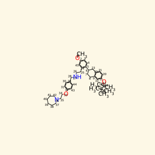 COc1ccc(C2CCc3cc(O[Si](C)(C)C(C)(C)C)ccc3C2)c(CCNCc2ccc(OCCN3CCCCCC3)cc2)c1